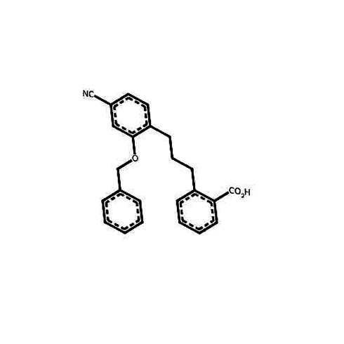 N#Cc1ccc(CCCc2ccccc2C(=O)O)c(OCc2ccccc2)c1